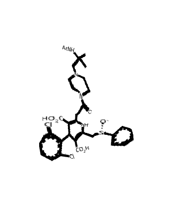 CC(=O)NC(C)(C)CN1CCN(C(=O)CC2=C(C(=O)O)C(c3c(Cl)cccc3Cl)C(C(=O)O)=C(C[S@+]([O-])c3ccccc3)N2)CC1